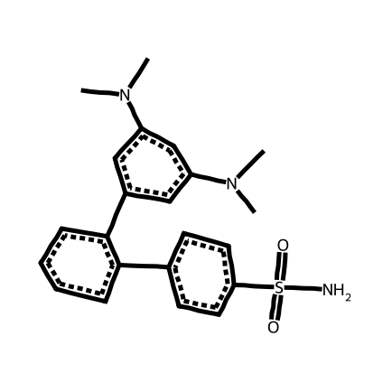 CN(C)c1cc(-c2ccccc2-c2ccc(S(N)(=O)=O)cc2)cc(N(C)C)c1